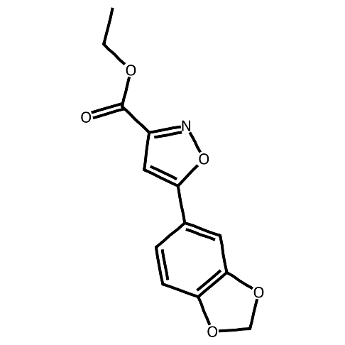 CCOC(=O)c1cc(-c2ccc3c(c2)OCO3)on1